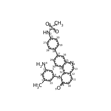 Cc1cc(N)cc(-n2c(=O)ccc3cnc4cc(-c5ccc(NS(C)(=O)=O)cc5)ccc4c32)c1